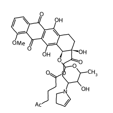 COc1cccc2c1C(=O)c1c(O)c3c(c(O)c1C2=O)CC[C@](O)(C(=O)COC(=O)CCCC(C)=O)[C@H]3OC1CC(N2C=CCC2)C(O)C(C)O1